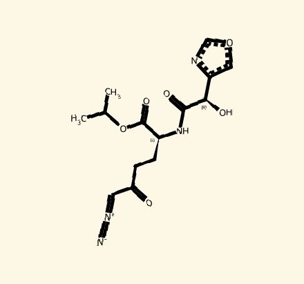 CC(C)OC(=O)[C@H](CCC(=O)C=[N+]=[N-])NC(=O)[C@H](O)c1cocn1